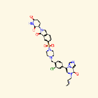 C/C=C/Cn1cc(-c2ccc(CN3CCN(S(=O)(=O)c4ccc5c(c4)C(=O)N(C4CCC(=O)NC4=O)C5)CC3)c(Cl)c2)n2cncc2c1=O